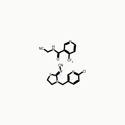 N#C/N=C1\SCCN1Cc1ccc(Cl)nc1.N#CCNC(=O)c1cnccc1C(F)(F)F